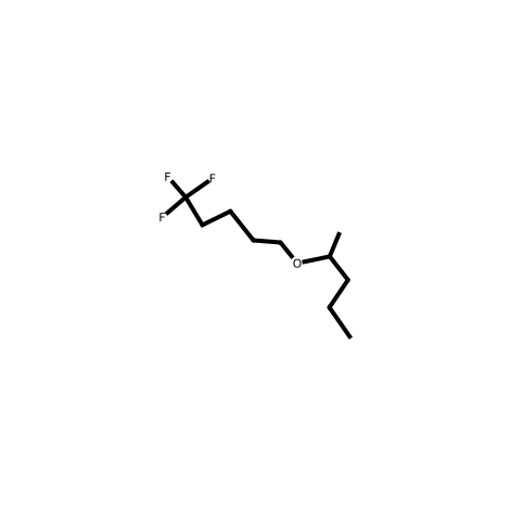 CCCC(C)OCCCCC(F)(F)F